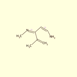 C=C(C)C(/C=C\N)=N\C